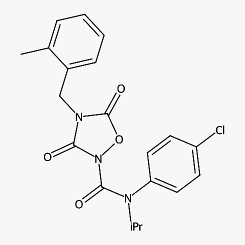 Cc1ccccc1Cn1c(=O)on(C(=O)N(c2ccc(Cl)cc2)C(C)C)c1=O